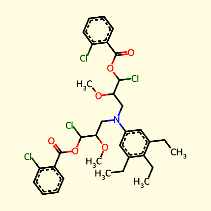 CCc1cc(N(CC(OC)C(Cl)OC(=O)c2ccccc2Cl)CC(OC)C(Cl)OC(=O)c2ccccc2Cl)cc(CC)c1CC